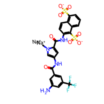 Cn1cc(NC(=O)c2cc(N)cc(C(F)(F)F)c2)cc1C(=O)Nc1ccc2c(S(=O)(=O)[O-])cccc2c1S(=O)(=O)[O-].[Na+].[Na+]